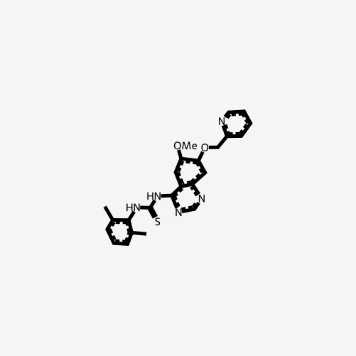 COc1cc2c(NC(=S)Nc3c(C)cccc3C)ncnc2cc1OCc1ccccn1